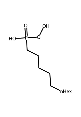 CCCCCCCCCCCP(=O)(O)OO